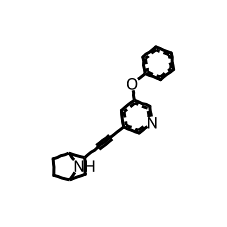 C(#CC1CC2CCC1N2)c1cncc(Oc2ccccc2)c1